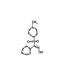 Cc1ccc(S(=O)(=O)/C(=N/O)c2ccccc2)cc1